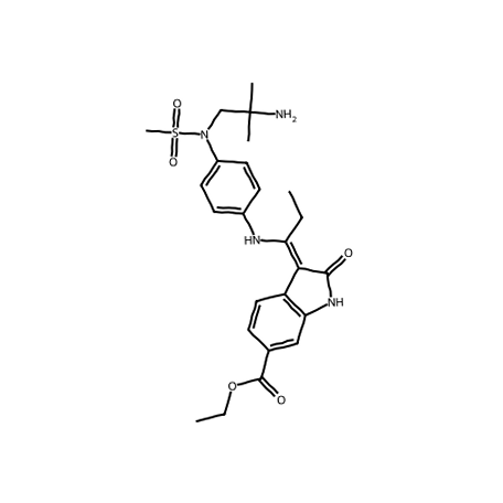 CCOC(=O)c1ccc2c(c1)NC(=O)C2=C(CC)Nc1ccc(N(CC(C)(C)N)S(C)(=O)=O)cc1